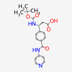 CC(C)(C)OC(=O)N[C@@H](CC(=O)O)c1ccc(C(=O)Nc2ccncc2)cc1